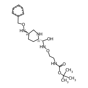 CC(C)(C)OC(=O)NCCONC(O)[C@@H]1CC[C@@H](NOCc2ccccc2)CN1